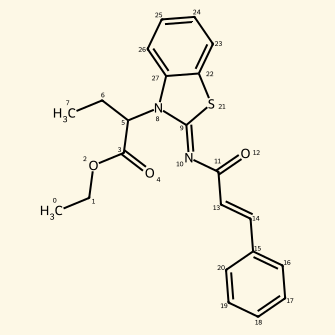 CCOC(=O)C(CC)n1c(=NC(=O)C=Cc2ccccc2)sc2ccccc21